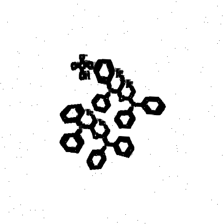 [O-][Cl+3]([O-])([O-])O.[Tc][CH2]C(OC([CH2][Tc])P(c1ccccc1)c1ccccc1)P(c1ccccc1)c1ccccc1.[Tc][CH2]C(OC([CH2][Tc])P(c1ccccc1)c1ccccc1)P(c1ccccc1)c1ccccc1